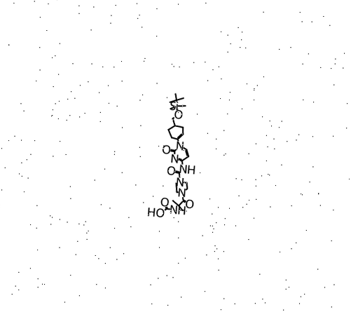 CC(C)(NC(=O)O)C(=O)N1CCN(C(=O)Nc2ccn(C3=CCC(CO[Si](C)(C)C(C)(C)C)CC3)c(=O)n2)CC1